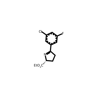 CCOC(=O)[C@H]1CCC(c2cc(F)cc(Cl)c2)=N1